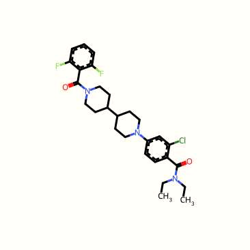 CCN(CC)C(=O)c1ccc(N2CCC(C3CCN(C(=O)c4c(F)cccc4F)CC3)CC2)cc1Cl